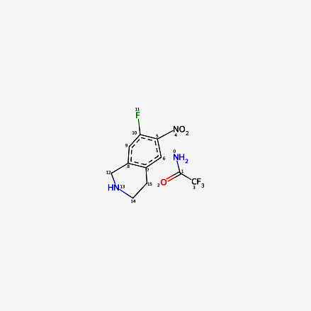 NC(=O)C(F)(F)F.O=[N+]([O-])c1cc2c(cc1F)CNCC2